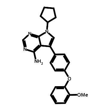 COc1ccccc1Oc1ccc(-c2cn(C3CCCC3)c3ncnc(N)c23)cc1